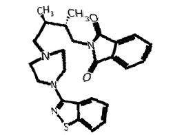 C[C@H](CN1CCN(c2nsc3ccccc23)CC1)[C@H](C)CN1C(=O)c2ccccc2C1=O